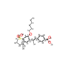 CCCCCCOc1cc2c(cc1C(C)=Cc1ccc(C(=O)OC)cc1)C(C)(C)CCCS2(=O)=O